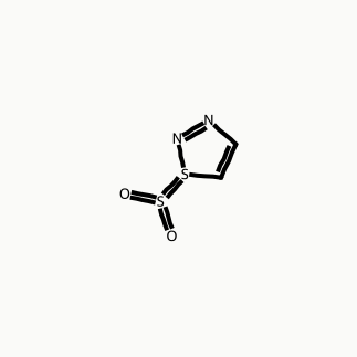 O=S(=O)=S1C=CN=N1